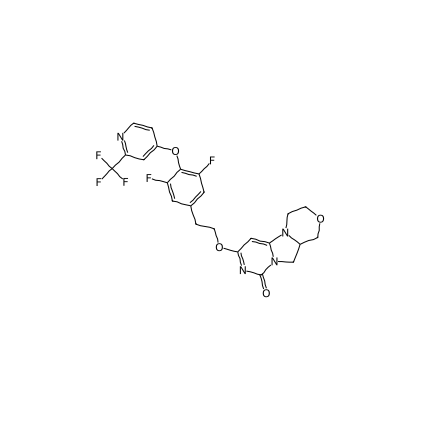 O=c1nc(OCCc2cc(F)c(Oc3ccnc(C(F)(F)F)c3)c(F)c2)cc2n1CC1COCCN21